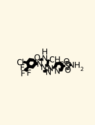 C[C@H](Nc1nc2cc(C(F)(F)F)c(Cl)cc2o1)c1ncnn1-c1ccc(S(N)(=O)=O)cn1